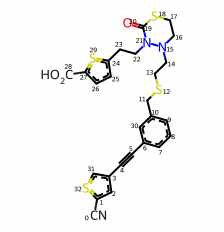 N#Cc1cc(C#Cc2cccc(CSCCN3CCSC(=O)N3CCc3ccc(C(=O)O)s3)c2)cs1